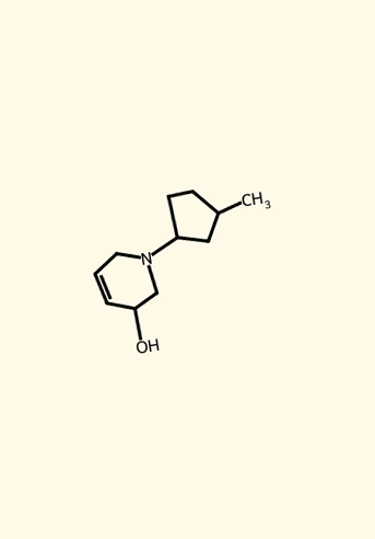 CC1CCC(N2CC=CC(O)C2)C1